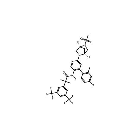 Cc1cc(F)ccc1-c1cc(N2C[C@@H]3C[C@H]2CN3S(C)(=O)=O)ncc1N(C)C(=O)C(C)(C)c1cc(C(F)(F)F)cc(C(F)(F)F)c1